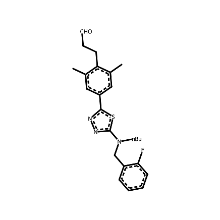 CCCCN(Cc1ccccc1F)c1nnc(-c2cc(C)c(CCC=O)c(C)c2)s1